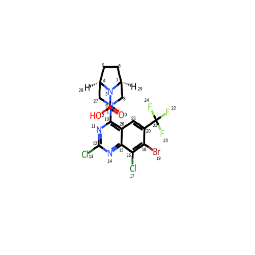 O=C(O)N1[C@@H]2CC[C@H]1CN(c1nc(Cl)nc3c(Cl)c(Br)c(C(F)(F)F)cc13)C2